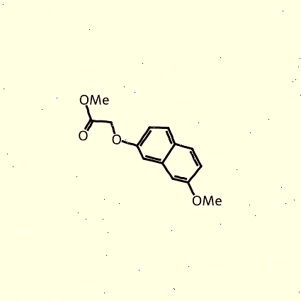 COC(=O)COc1ccc2ccc(OC)cc2c1